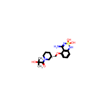 CC(C)(O)C(=O)N1CCC[C@H](COc2cccc3c2C(N)=NS(O)(O)N3)C1